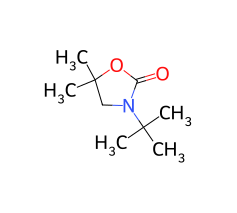 CC1(C)CN(C(C)(C)C)C(=O)O1